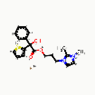 Cc1n(CCCOC(=O)C(O)(c2ccccc2)c2cccs2)cc[n+]1C.[Br-]